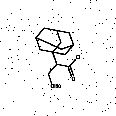 CC(C)COCC(C(=O)Cl)C12CC3CC(CC(C3)C1)C2